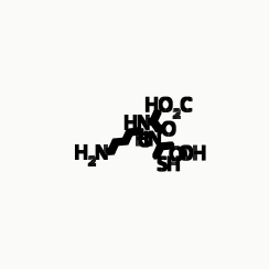 NCCCCC(=O)NC(CC(=O)O)C(=O)NC(CS)COO